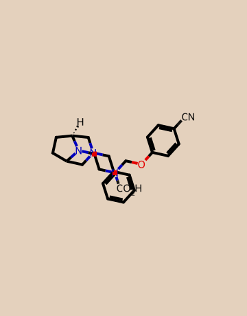 N#Cc1ccc(OCN(CCN2C3CC[C@H]2CN(Cc2ccccc2)C3)C(=O)O)cc1